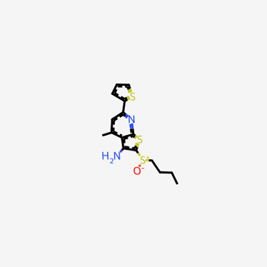 CCCC[S+]([O-])c1sc2nc(-c3cccs3)cc(C)c2c1N